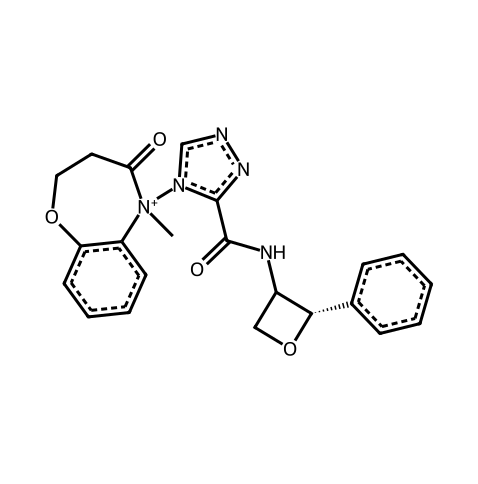 C[N+]1(n2cnnc2C(=O)NC2CO[C@H]2c2ccccc2)C(=O)CCOc2ccccc21